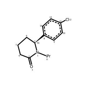 CC(C)N1C(=O)CCC[C@H]1c1ccc(Cl)cc1